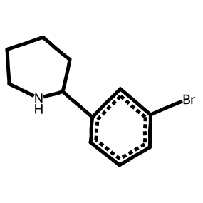 Brc1cccc(C2CCCCN2)c1